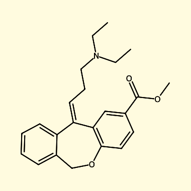 CCN(CC)CCC=C1c2ccccc2COc2ccc(C(=O)OC)cc21